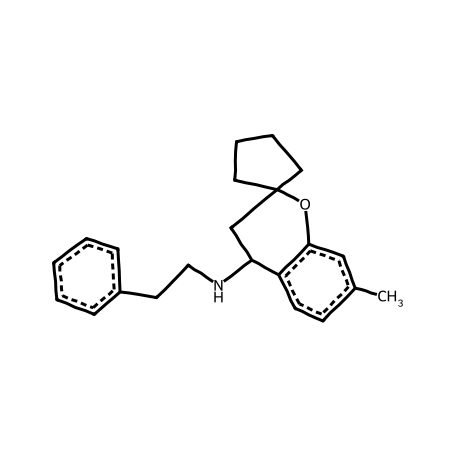 Cc1ccc2c(c1)OC1(CCCC1)CC2NCCc1ccccc1